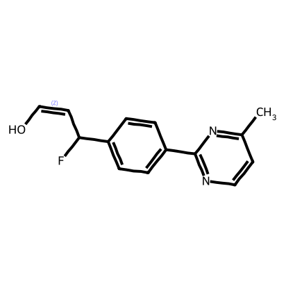 Cc1ccnc(-c2ccc(C(F)/C=C\O)cc2)n1